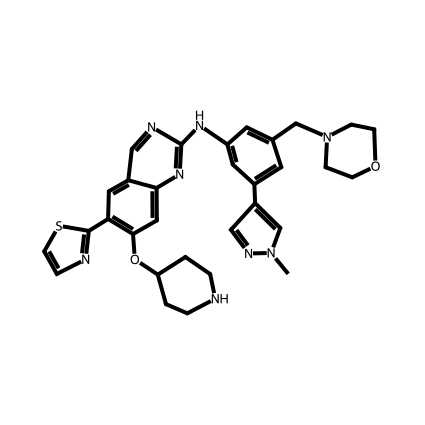 Cn1cc(-c2cc(CN3CCOCC3)cc(Nc3ncc4cc(-c5nccs5)c(OC5CCNCC5)cc4n3)c2)cn1